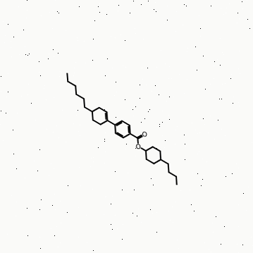 CCCCCCC1CC=C(c2ccc(C(=O)OC3CCC(CCCC)CC3)cc2)CC1